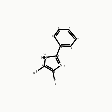 Fc1nc(-c2ccccc2)[nH]c1F